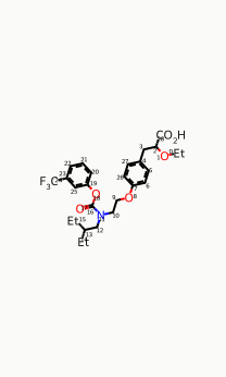 CCOC(Cc1ccc(OCCN(CC(CC)CC)C(=O)Oc2cccc(C(F)(F)F)c2)cc1)C(=O)O